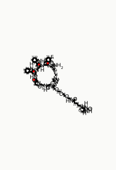 C[C@H]1NC(=O)[C@@H](NC(=O)COCCOCCOCCNC(=O)CCCC[C@@H]2SC[C@@H]3NC(=O)N[C@@H]32)Cc2cn(nn2)CCCC[C@@H](C(N)=O)NC(=O)[C@H](Cc2ccc(F)cc2)NC(=O)[C@@H](Cc2c[nH]c3ccccc23)NC(=O)[C@@H](Cc2c[nH]c3ccccc23)NC(=O)[C@H]2CCCN2C1=O